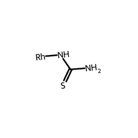 NC(=S)[NH][Rh]